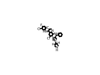 N#Cc1cnc2c(N[C@@H](c3ccccc3)c3cn([C@@H]4[C@@H]5CNC[C@@H]54)nn3)cc(Cl)cc2c1Nc1ccc(F)c(Cl)c1